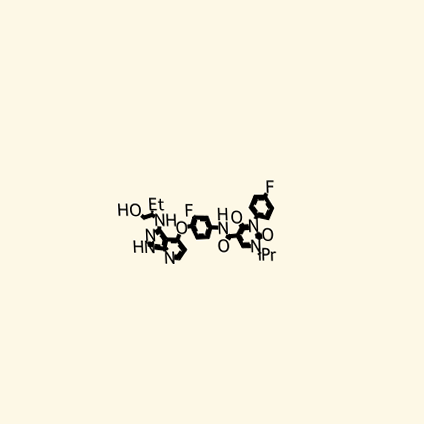 CC[C@H](CO)Nc1n[nH]c2nccc(Oc3ccc(NC(=O)c4cn(C(C)C)c(=O)n(-c5ccc(F)cc5)c4=O)cc3F)c12